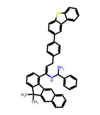 CC1(C)c2cc3ccccc3cc2-c2c(/C(=C/Cc3ccc(-c4ccc5sc6ccccc6c5c4)cc3)NC(N)c3ccccc3)cccc21